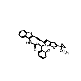 CC(OC(=O)Nc1c(C#Cc2cc3cc(C4(C(=O)O)CC4)sc3s2)oc2ccccc12)c1ccccc1Cl